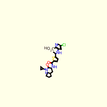 CC(Nc1cc(Cl)cnc1C(=O)O)c1ccc(C(=O)NC(CC2CCCC2)C(=O)NC2CC2)s1